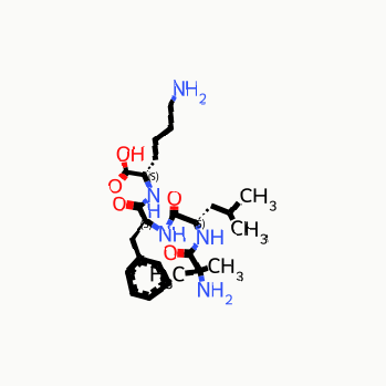 CC(C)C[C@H](NC(=O)C(C)(C)N)C(=O)N[C@@H](Cc1ccccc1)C(=O)N[C@@H](CCCCN)C(=O)O